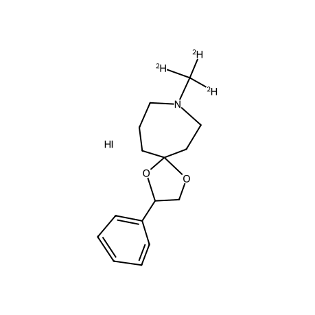 I.[2H]C([2H])([2H])N1CCCC2(CC1)OCC(c1ccccc1)O2